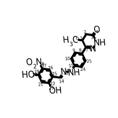 CC1CC(=O)NN=C1c1ccc(NN=Cc2cc([N+](=O)[O-])c(O)cc2O)cc1